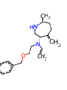 C=CN(CCOCc1ccccc1)[C@@H]1CN[C@@H](C)CCC1=C